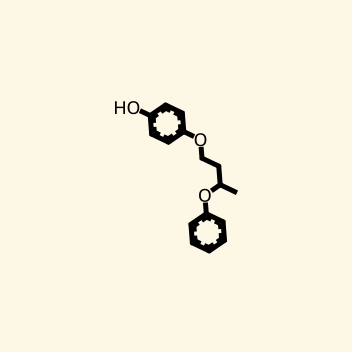 CC(CCOc1ccc(O)cc1)Oc1ccccc1